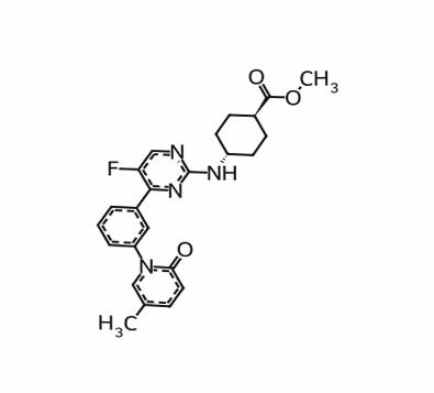 COC(=O)[C@H]1CC[C@H](Nc2ncc(F)c(-c3cccc(-n4cc(C)ccc4=O)c3)n2)CC1